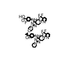 O=C(O)c1ccc(Nc2nc(N3CCOCC3)nc3c2CCN(c2ncccc2C(F)(F)F)CC3)cc1F.OC1(c2ccc(Nc3nc(N4CCCCC4)nc4c3CCN(c3ncccc3C(F)(F)F)CC4)cc2)CC1